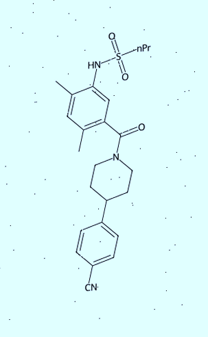 CCCS(=O)(=O)Nc1cc(C(=O)N2CCC(c3ccc(C#N)cc3)CC2)c(C)cc1C